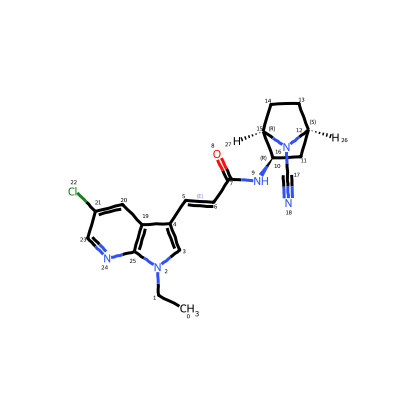 CCn1cc(/C=C/C(=O)N[C@@H]2C[C@@H]3CC[C@H]2N3C#N)c2cc(Cl)cnc21